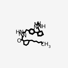 CCCCCCC1CCCC(C(=O)c2n[nH]c(Cc3ccc(-c4ccccc4-c4nnn[nH]4)cc3)n2)C1